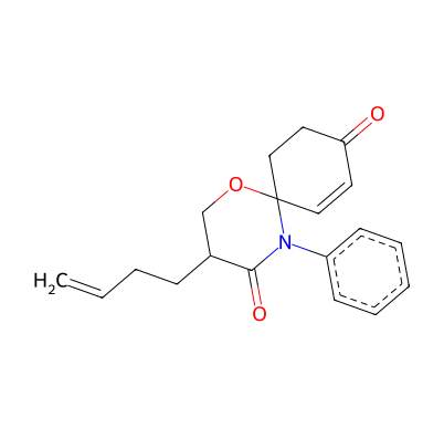 C=CCCC1COC2(C=CC(=O)CC2)N(c2ccccc2)C1=O